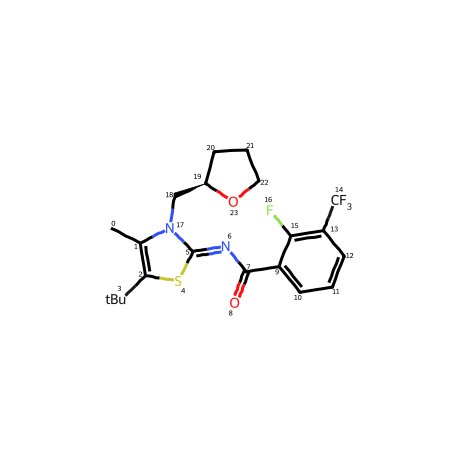 Cc1c(C(C)(C)C)s/c(=N\C(=O)c2cccc(C(F)(F)F)c2F)n1C[C@H]1CCCO1